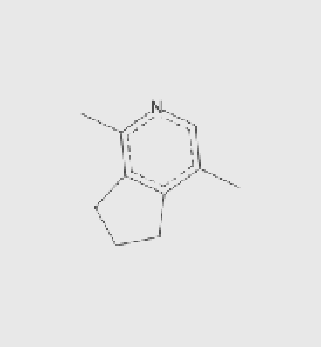 Cc1cnc(C)c2c1CCC2